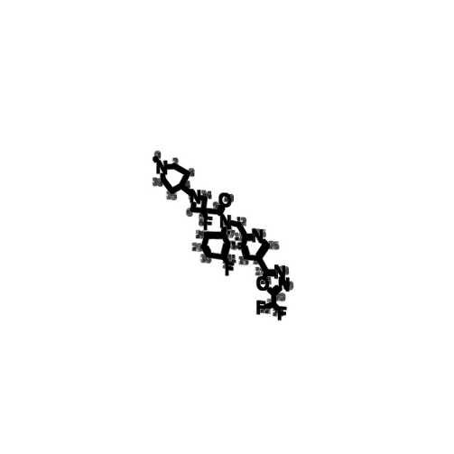 CN1CCC(N2CC(F)(C(=O)N(Cc3ccc(-c4nnc(C(F)F)o4)cn3)c3cccc(F)c3)C2)CC1